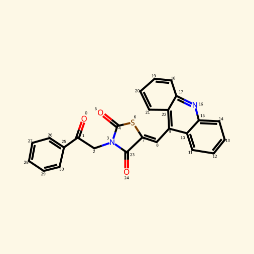 O=C(CN1C(=O)SC(=Cc2c3ccccc3nc3ccccc23)C1=O)c1ccccc1